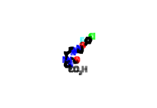 O=C(O)c1ccc2nc(C3CC3c3ccn(-c4cccc(OCc5ccc(Cl)cc5F)n4)n3)n(C[C@@H]3CCO3)c2n1